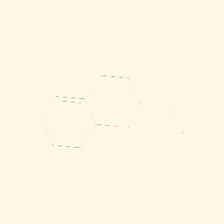 O=C[C@H]1CCc2ccccc2O1